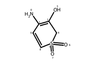 NC1=C(O)CS(=O)(=O)C=C1